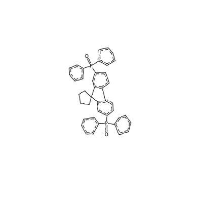 O=P(c1ccccc1)(c1ccccc1)c1ccc2c(c1)C1(CCCC1)c1cc(P(=O)(c3ccccc3)c3ccccc3)ccc1-2